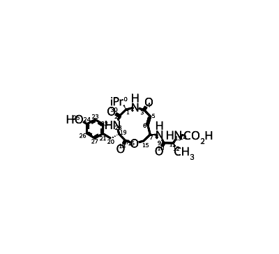 CC(C)[C@@H]1NC(=O)/C=C/[C@@H](NC(=O)[C@H](C)NC(=O)O)COC(=O)[C@H](Cc2ccc(O)cc2)NC1=O